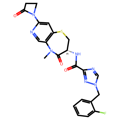 CN1C(=O)[C@@H](NC(=O)c2ncn(Cc3ccccc3F)n2)CSc2cc(N3CCC3=O)ncc21